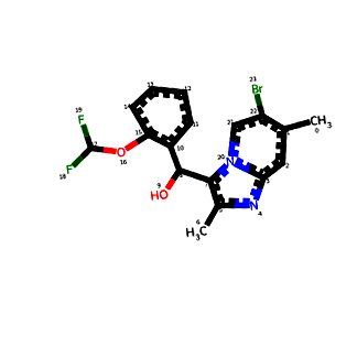 Cc1cc2nc(C)c(C(O)c3ccccc3OC(F)F)n2cc1Br